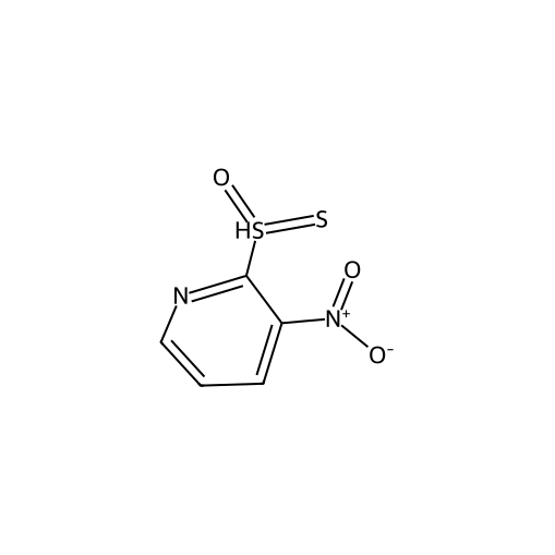 O=[N+]([O-])c1cccnc1[SH](=O)=S